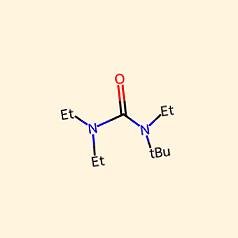 CCN(CC)C(=O)N(CC)C(C)(C)C